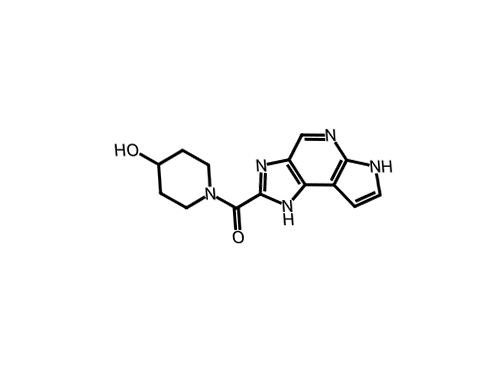 O=C(c1nc2cnc3[nH]ccc3c2[nH]1)N1CCC(O)CC1